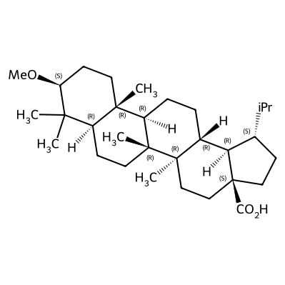 CO[C@H]1CC[C@]2(C)[C@H]3CC[C@@H]4[C@H]5[C@H](C(C)C)CC[C@]5(C(=O)O)CC[C@@]4(C)[C@]3(C)CC[C@H]2C1(C)C